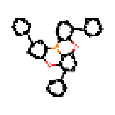 S=P12c3cc(-c4ccccc4)ccc3Oc3c(-c4ccccc4)ccc(c31)Oc1c(-c3ccccc3)cccc12